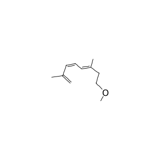 C=C(C)/C=C\C=C(/C)CCOC